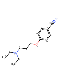 CCN(CC)CCCOc1ccc(C#N)cc1